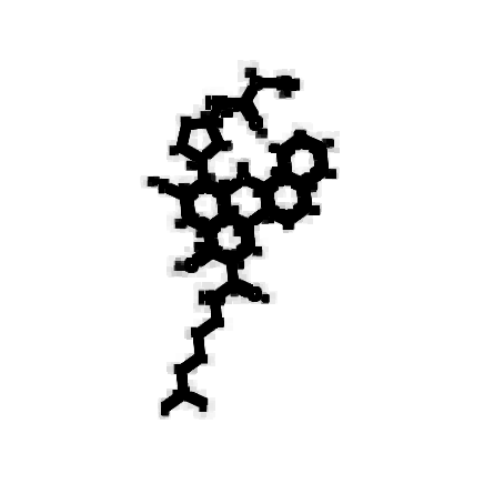 CN(C)CCCCNC(=O)c1cn2c3c(c(N4CC[C@@H](NC(=O)OC(C)(C)C)C4)c(F)cc3c1=O)Oc1c-2ccc2ccccc12